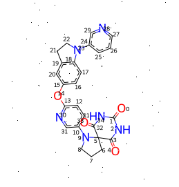 O=C1NC(=O)C2(CCCN2c2ccc(Oc3ccc4c(c3)CCN4c3cccnc3)nc2)C(=O)N1